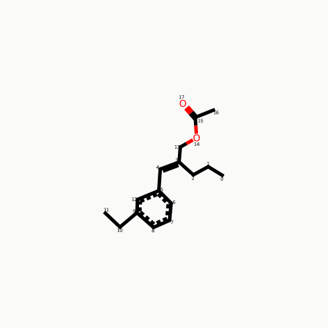 CCC/C(=C\c1cccc(CC)c1)COC(C)=O